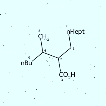 CCCCCCCCC(C(=O)O)C(C)CCCC